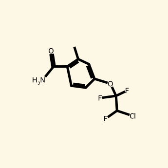 Cc1cc(OC(F)(F)C(F)Cl)ccc1C(N)=O